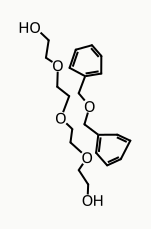 OCCOCCOCCOCCO.c1ccc(COCc2ccccc2)cc1